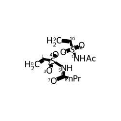 C=CS(=O)(=O)NC(=O)CCC.C=CS(=O)(=O)NC(C)=O